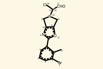 Cc1c(Br)cccc1-c1nc2c(o1)CN([C@@H](Cl)C=O)C2